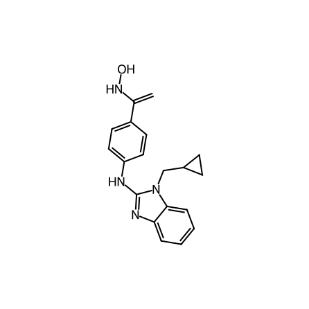 C=C(NO)c1ccc(Nc2nc3ccccc3n2CC2CC2)cc1